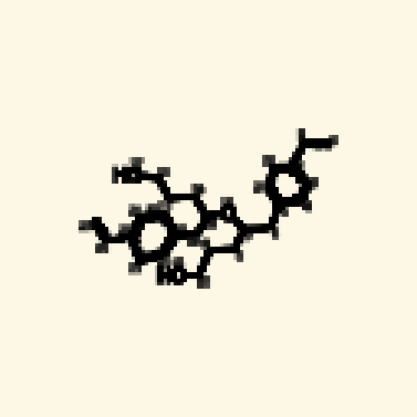 C=Cc1ccc(CC(CCCO)OC(CCCO)Cc2ccc(C=C)cc2)cc1